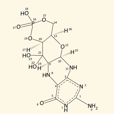 Nc1nc2c(c(=O)[nH]1)N[C@@H]1[C@H](N2)O[C@@H]2COP(=O)(O)O[C@@H]2C1(O)O